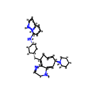 CN1CC=NC2=C(\C[C@H]3CC[C@@H](Nc4cccc5ccnn45)CC3)C/C=C/[C@@H](N3CCCCC3)/C=C\21